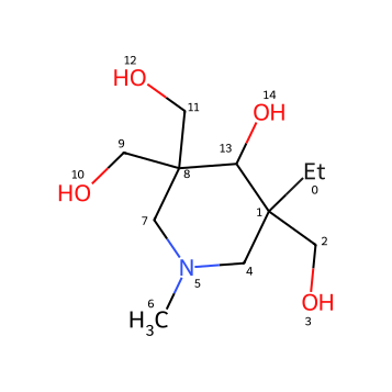 CCC1(CO)CN(C)CC(CO)(CO)C1O